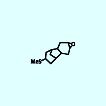 CSC1CC2CC(C1)C1CC3OC3CC21